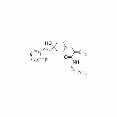 C=C(CN1CCC(O)(CCc2ccccc2F)CC1)C(=O)N/C=C\N